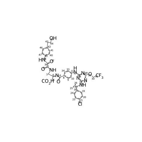 O=C(NC/C(=N/C(=O)c1ccc(Nc2nc(NC3(c4ccc(Cl)cc4)CC3)nc(OCC(F)(F)F)n2)cc1)C(=O)O)C(=O)Nc1ccc(CCO)cc1